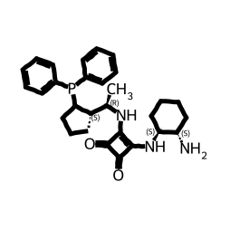 C[C@@H](Nc1c(N[C@H]2CCCC[C@@H]2N)c(=O)c1=O)[C@@H]1CCCC1P(c1ccccc1)c1ccccc1